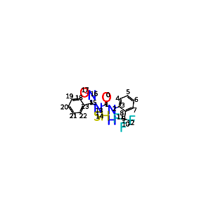 O=C(Nc1ccccc1C(F)(F)F)N(S)c1noc2ccccc12